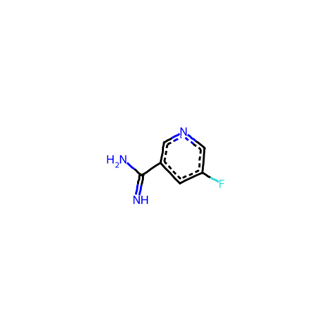 N=C(N)c1cncc(F)c1